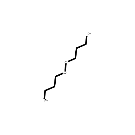 CC(C)CCCOOCCCC(C)C